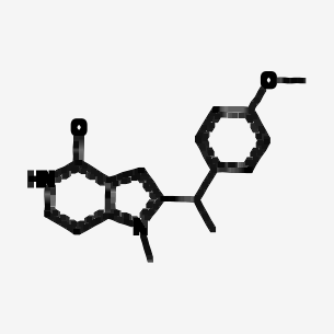 COc1ccc(C(C)c2cc3c(=O)[nH]ccc3n2C)cc1